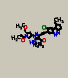 C=CC(=O)N1C[C@@H](n2nc(C#Cc3cc4nnc5c(c4cc3Cl)C(CC)CC5)c(C(N)=O)c2NC)C[C@@H]1COC